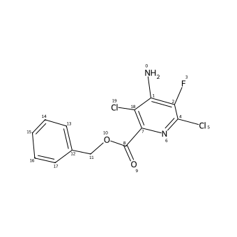 Nc1c(F)c(Cl)nc(C(=O)OCc2ccccc2)c1Cl